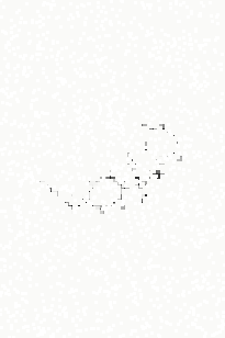 O=C=Nc1ccc(S(=O)(=O)NC2CCCCC2)cc1